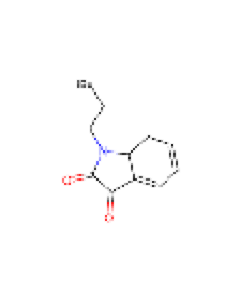 CCC(C)CCN1C(=O)C(=O)C2=CC=CCC21